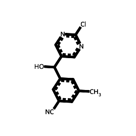 Cc1cc(C#N)cc(C(O)c2cnc(Cl)nc2)c1